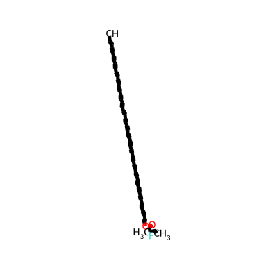 C#CC#CC#CC#CC#CC#CC#CC#CC#CC#CC#CC#CC#CC#CC#CC#CC#CC#CC#CC#CC#CC#CC#CC#CC#COC(=O)C(C)(F)CC